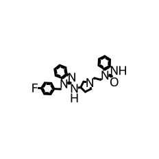 O=c1[nH]c2ccccc2n1CCN1CCC(Nc2nc3ccccc3n2Cc2ccc(F)cc2)C1